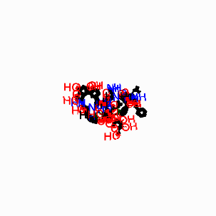 CC(C)C[C@H](NC(=O)OCc1ccccc1)C(=O)N[C@H]1C(=O)N[C@@H](CC(N)=O)C(=O)N[C@H]2C(=O)N[C@H]3C(=O)NC(C(=O)N[C@H](C(=O)O)c4cc(O)cc(O)c4-c4cc3ccc4O)[C@H](O)c3ccc(c(Cl)c3)Oc3cc2cc(c3OC2O[C@H](CO)[C@@H](O)[C@H](O)C2O[C@H]2C[C@](C)(NC(=O)OC(C)(C)C)[C@H](O)[C@H](C)O2)Oc2ccc(cc2Cl)[C@H]1O